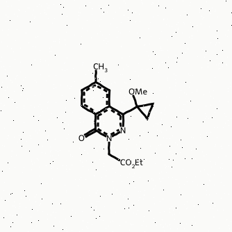 CCOC(=O)Cn1nc(C2(OC)CC2)c2cc(C)ccc2c1=O